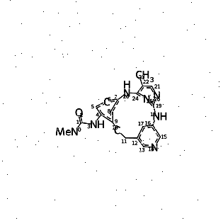 CNC(=O)Nc1ccc2cc1CCc1cncc(c1)Nc1ncc(C)c(n1)N2